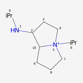 CC(C)NC1CC[N+]2(C(C)C)CCCC12